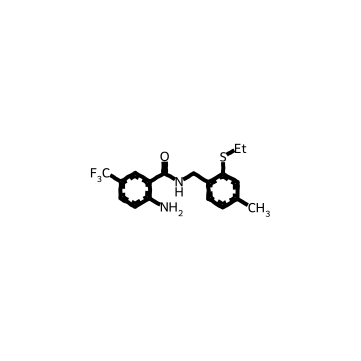 CCSc1cc(C)ccc1CNC(=O)c1cc(C(F)(F)F)ccc1N